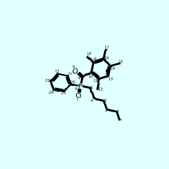 CCCCCCP(=O)(C(=O)c1c(C)cc(C)c(C)c1C)c1ccccc1